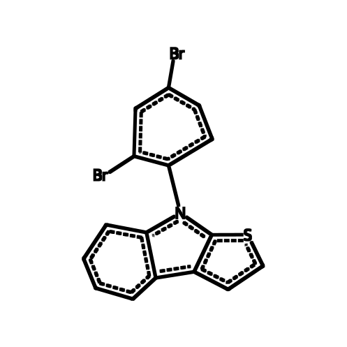 Brc1ccc(-n2c3ccccc3c3ccsc32)c(Br)c1